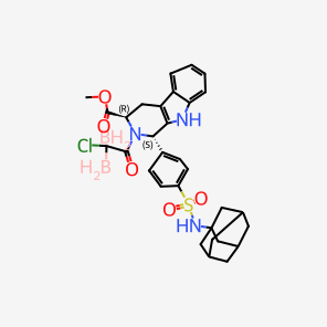 BC(B)(Cl)C(=O)N1[C@@H](c2ccc(S(=O)(=O)NC34CC5CC(CC(C5)C3)C4)cc2)c2[nH]c3ccccc3c2C[C@@H]1C(=O)OC